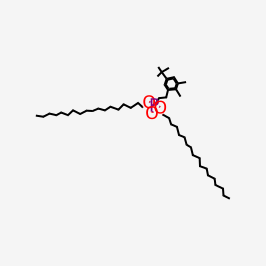 CCCCCCCCCCCCCCCCCCOP(=O)(CCc1cc(C(C)(C)C)cc(C)c1C)OCCCCCCCCCCCCCCCCCC